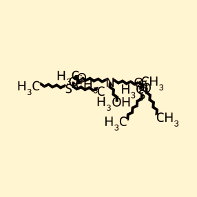 CCCCCCCCSC(CCCCCCC)O[Si](C)(C)OCCCCCCN(CCCCO)CCCCCCO[Si](C)(C)OC(CCCCCCC)SCCCCCCCC